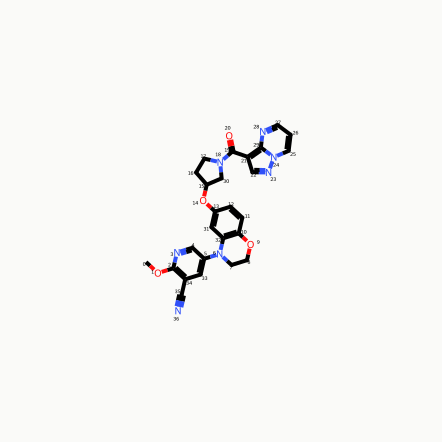 COc1ncc(N2CCOc3ccc(OC4CCN(C(=O)c5cnn6cccnc56)C4)cc32)cc1C#N